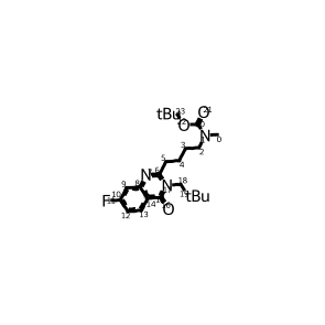 CN(CCCCc1nc2cc(F)ccc2c(=O)n1CC(C)(C)C)C(=O)OC(C)(C)C